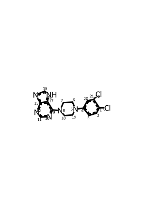 Clc1ccc(N2CCN(c3ncnc4nc[nH]c34)CC2)cc1Cl